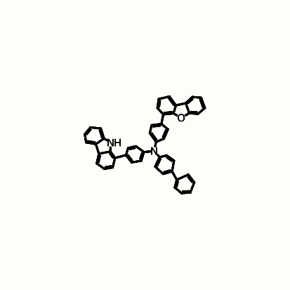 c1ccc(-c2ccc(N(c3ccc(-c4cccc5c4[nH]c4ccccc45)cc3)c3ccc(-c4cccc5c4oc4ccccc45)cc3)cc2)cc1